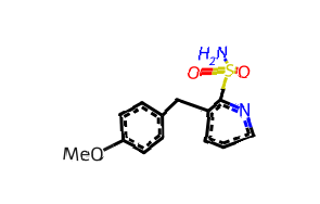 COc1ccc(Cc2cccnc2S(N)(=O)=O)cc1